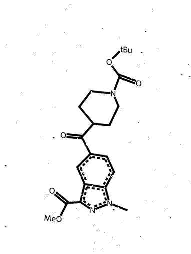 COC(=O)c1nn(C)c2ccc(C(=O)C3CCN(C(=O)OC(C)(C)C)CC3)cc12